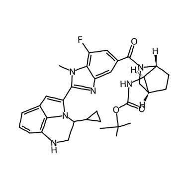 Cn1c(-c2cc3cccc4c3n2C(C2CC2)CN4)nc2cc(C(=O)N3C[C@H]4CC[C@@H]3[C@@H]4NC(=O)OC(C)(C)C)cc(F)c21